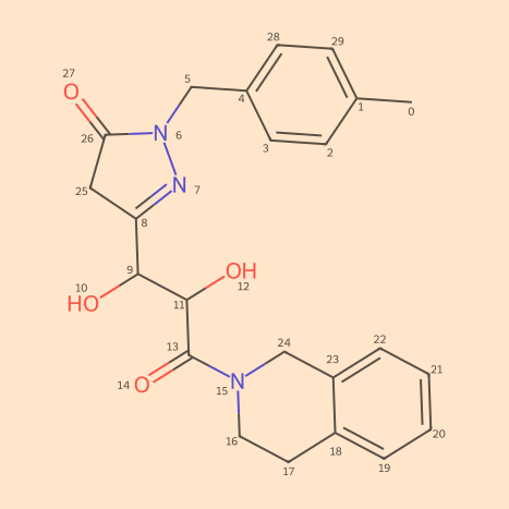 Cc1ccc(CN2N=C(C(O)C(O)C(=O)N3CCc4ccccc4C3)CC2=O)cc1